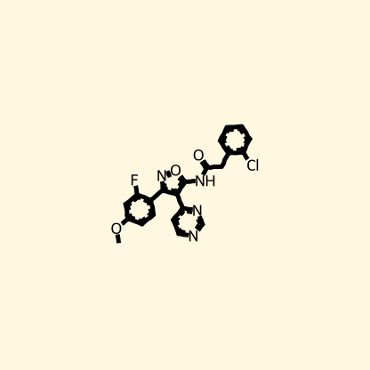 COc1ccc(-c2noc(NC(=O)Cc3ccccc3Cl)c2-c2ccncn2)c(F)c1